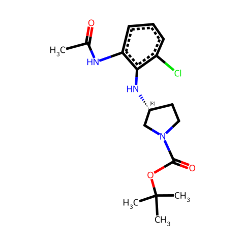 CC(=O)Nc1cccc(Cl)c1N[C@@H]1CCN(C(=O)OC(C)(C)C)C1